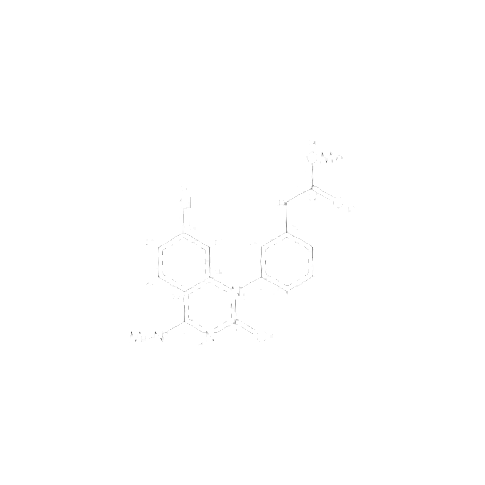 CNc1nc(=O)n(-c2cccc(CC(=O)OC)c2)c2cc(Cl)ccc12